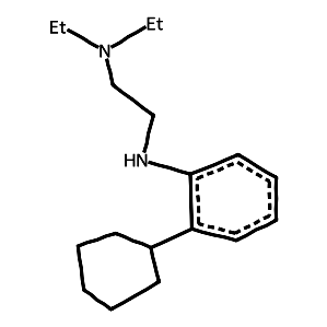 CCN(CC)CCNc1ccccc1C1CCCCC1